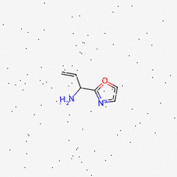 C=CC(N)c1ncco1